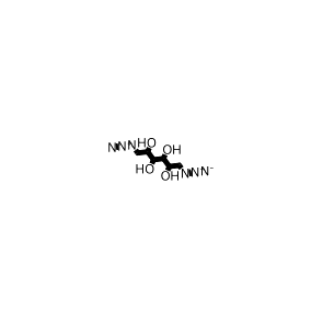 [N-]=[N+]=NCC(O)C(O)C(O)C(O)CN=[N+]=[N-]